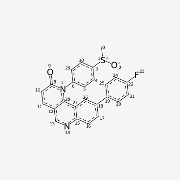 C[S+]([O-])c1ccc(-n2c(=O)ccc3cnc4ccc(-c5ccc(F)cc5)cc4c32)cc1